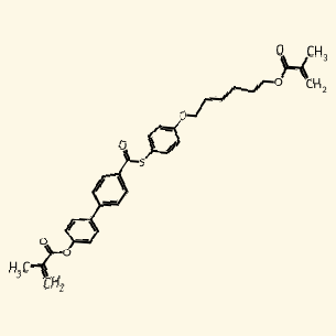 C=C(C)C(=O)OCCCCCCOc1ccc(SC(=O)c2ccc(-c3ccc(OC(=O)C(=C)C)cc3)cc2)cc1